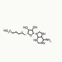 NC1NCNC2C1NCN2[C@@H]1O[C@H](CSCCCC(=O)O)[C@@H](O)[C@H]1O